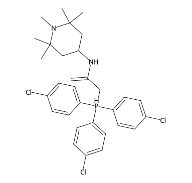 C=C(C[PH](c1ccc(Cl)cc1)(c1ccc(Cl)cc1)c1ccc(Cl)cc1)NC1CC(C)(C)N(C)C(C)(C)C1